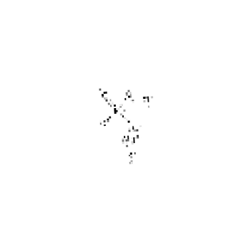 O=P([O-])([O-])O.[Cl-].[K+].[Mg+2]